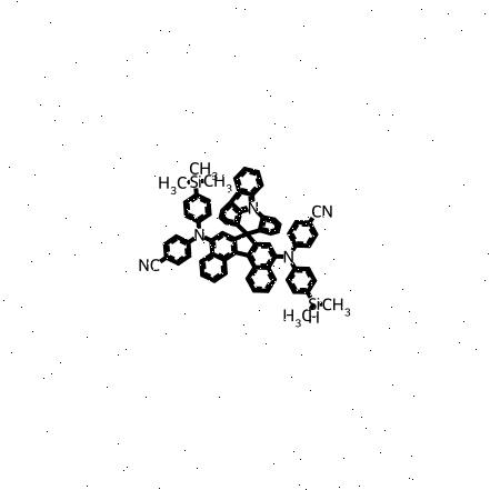 C[SiH](C)c1ccc(N(c2ccc(C#N)cc2)c2cc3c(c4ccccc24)-c2c(cc(N(c4ccc(C#N)cc4)c4ccc([Si](C)(C)C)cc4)c4ccccc24)C32c3ccccc3-n3c4ccccc4c4cccc2c43)cc1